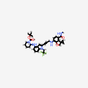 CNC(=O)c1ccc(NCC#Cc2cc3c(NC4CCCCN4C(=O)OC(C)(C)C)cccc3n2CC(F)(F)F)c2c1C1(CC1)CO2